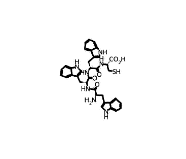 N[C@@H](Cc1c[nH]c2ccccc12)C(=O)N[C@@H](Cc1c[nH]c2ccccc12)C(=O)N[C@@H](Cc1c[nH]c2ccccc12)C(=O)N[C@@H](CS)C(=O)O